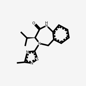 Cc1nsc(N2Cc3ccccc3NC(=O)[C@@H]2C(C)C)n1